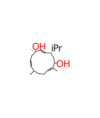 C/C1=C\CCC(C)/C=C\C[C@@](C)(O)/C=C/[C@H](C(C)C)C[C@H]1O